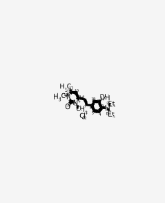 CCN(CC)c1ccc(C=Cc2cc(C)n(C)c(=O)[n+]2C)cc1O.[Cl-]